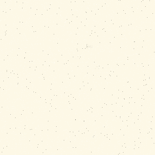 CC(C)(C)OC(=O)c1c[c]ccc1